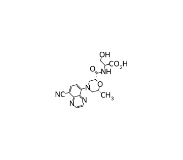 C[C@@H]1CN(c2ccc(C#N)c3nccnc23)C[C@H](C(=O)N[C@@H](CO)C(=O)O)O1